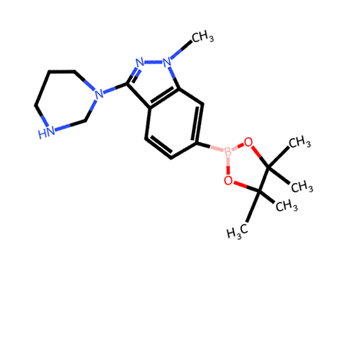 Cn1nc(N2CCCNC2)c2ccc(B3OC(C)(C)C(C)(C)O3)cc21